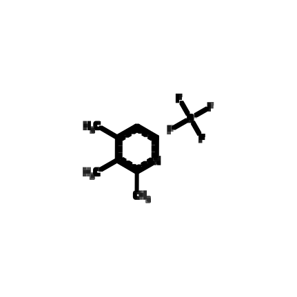 Cc1ccnc(C)c1C.F[B-](F)(F)F